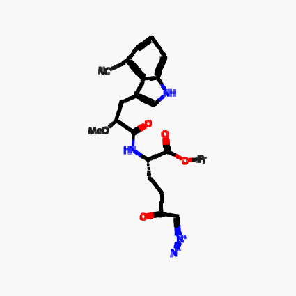 CO[C@@H](Cc1c[nH]c2cccc(C#N)c12)C(=O)N[C@@H](CCC(=O)C=[N+]=[N-])C(=O)OC(C)C